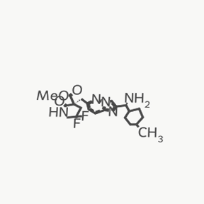 COC(=O)[C@@]1(Cc2ccc3nc([C@@H](N)C4CCC(C)CC4)cn3n2)CC(F)(F)CNC1=O